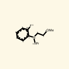 CCCN(CCOC)c1ccccc1F